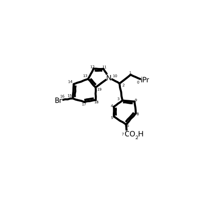 CC(C)CC(c1ccc(C(=O)O)cc1)n1ccc2cc(Br)ccc21